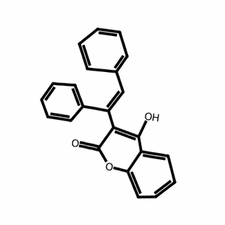 O=c1oc2ccccc2c(O)c1C(=Cc1ccccc1)c1ccccc1